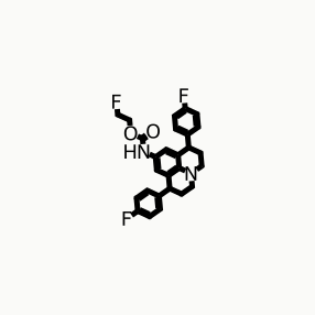 O=C(Nc1cc2c3c(c1)C(c1ccc(F)cc1)CCN3CCC2c1ccc(F)cc1)OCCF